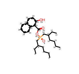 CCCCC(CC)CP(=O)(CC(CC)CCCC)OC(=O)c1c(O)ccc2ccccc12